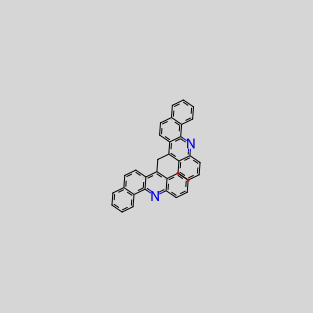 c1ccc2c(c1)ccc1c(Cc3c4ccccc4nc4c3ccc3ccccc34)c3ccccc3nc12